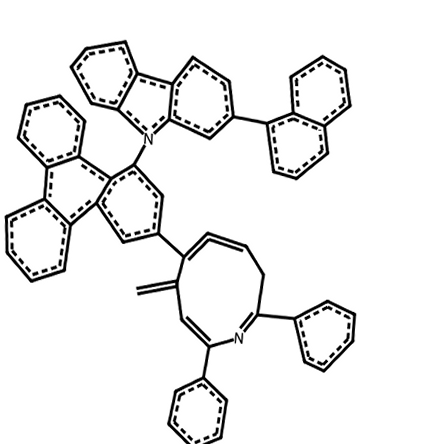 C=C1/C=C(c2ccccc2)\N=C(\c2ccccc2)CC=C=C1c1cc(-n2c3ccccc3c3ccc(-c4cccc5ccccc45)cc32)c2c3ccccc3c3ccccc3c2c1